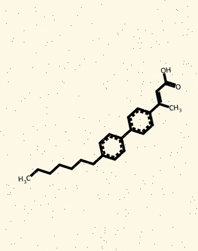 CCCCCCCc1ccc(-c2ccc(C(C)=CC(=O)O)cc2)cc1